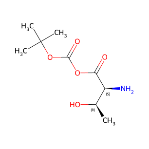 C[C@@H](O)[C@H](N)C(=O)OC(=O)OC(C)(C)C